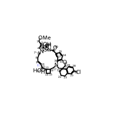 COC[C@H](O)CN1[C@@H](C)C/C=C/[C@H](O)[C@@H]2CCC2CN2C[C@@]3(CCCc4cc(Cl)ccc43)COc3ccc(cc32)C(=O)NS1(=O)=O